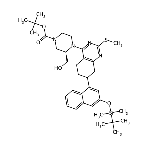 CSc1nc2c(c(N3CCN(C(=O)OC(C)(C)C)C[C@@H]3CO)n1)CCC(c1cc(O[Si](C)(C)C(C)(C)C)cc3ccccc13)C2